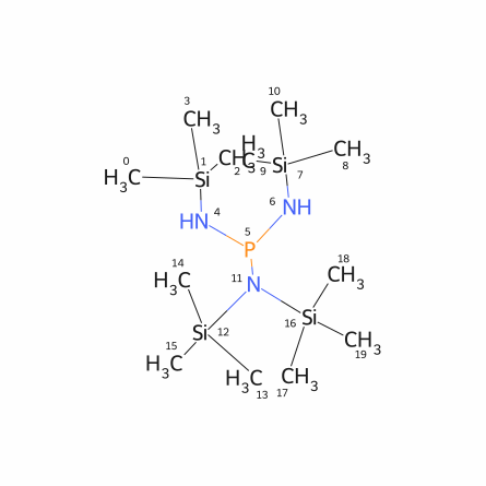 C[Si](C)(C)NP(N[Si](C)(C)C)N([Si](C)(C)C)[Si](C)(C)C